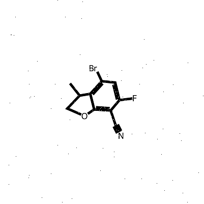 CC1COc2c(C#N)c(F)cc(Br)c21